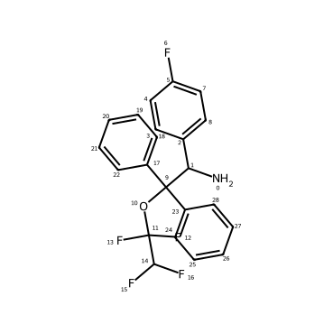 NC(c1ccc(F)cc1)C(OC(F)(F)C(F)F)(c1ccccc1)c1ccccc1